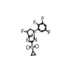 O=S(=O)(c1nc2n(n1)[C@H](c1cc(F)cc(F)c1F)C[C@@H]2F)C1CC1